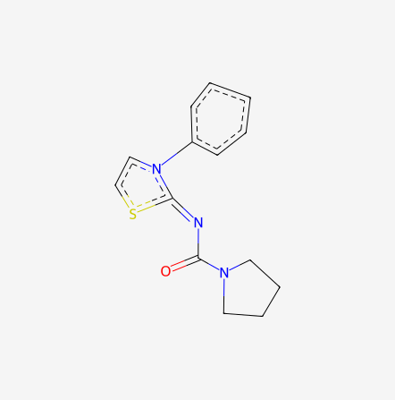 O=C(N=c1sccn1-c1ccccc1)N1CCCC1